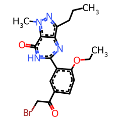 CCCc1nn(C)c2c(=O)[nH]c(-c3cc(C(=O)CBr)ccc3OCC)nc12